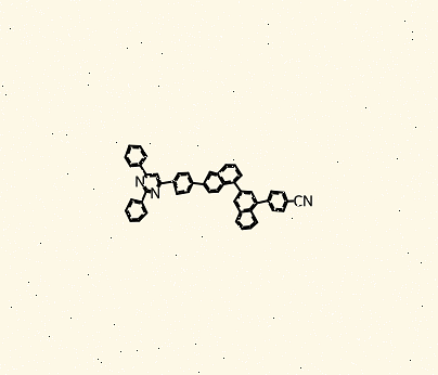 N#Cc1ccc(-c2cc(-c3cccc4cc(-c5ccc(-c6cc(-c7ccccc7)nc(-c7ccccc7)n6)cc5)ccc34)cc3ccccc23)cc1